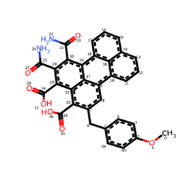 COc1ccc(Cc2cc3c4cccc5cccc(c6c(C(N)=O)c(C(N)=O)c(C(=O)O)c(c2C(=O)O)c36)c54)cc1